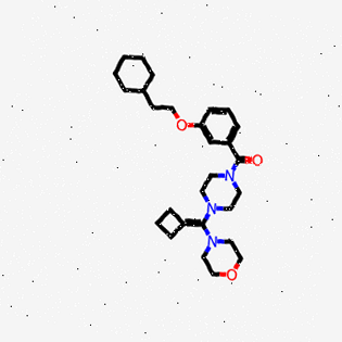 O=C(c1cccc(OCCC2CCCCC2)c1)N1CCN(C(=C2CCC2)N2CCOCC2)CC1